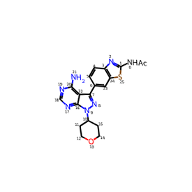 CC(=O)Nc1nc2ccc(-c3nn(C4CCOCC4)c4ncnc(N)c34)cc2s1